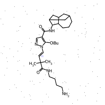 CC(C)COc1c(C(=O)NC2C3CC4CCCC2C(C4)C3)cnn1/C=C/C(C)(C)C(=O)NCCCCN